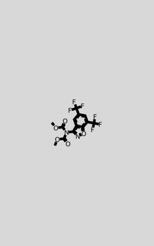 COC(=O)N(C(=O)OC)c1noc2c(C(F)(F)F)cc(C(F)(F)F)cc12